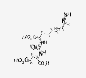 C/C(=C/NCCCC[C@H](NC(=O)N[C@H](CCC(=O)O)C(=O)O)C(=O)O)N=N